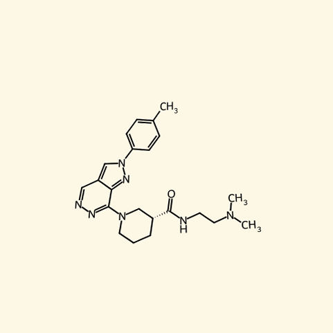 Cc1ccc(-n2cc3cnnc(N4CCC[C@@H](C(=O)NCCN(C)C)C4)c3n2)cc1